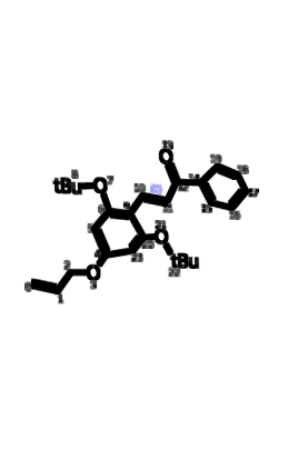 C=CCOc1cc(OC(C)(C)C)c(/C=C/C(=O)c2ccccc2)c(OC(C)(C)C)c1